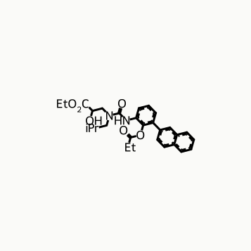 CCOC(=O)C(O)CN(CC(C)C)C(=O)Nc1cccc(-c2ccc3ccccc3c2)c1OC(=O)CC